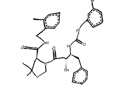 Cc1ccccc1CNC(=O)[C@H]1N(C(=O)[C@@H](O)[C@H](Cc2ccccc2)NC(=O)Nc2cccc(Br)c2)CSC1(C)C